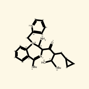 CCCCC1=NC(C(=O)C(CC2CC2)C(O)CCCC)C(N)N(Cc2ccccn2)c2ccccc21